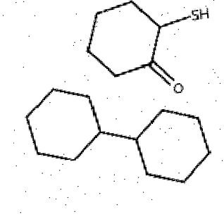 C1CCC(C2CCCCC2)CC1.O=C1CCCCC1S